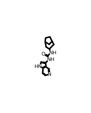 O=C(Nc1c[nH]c2ccncc12)NC1CC2CCC(C2)C1